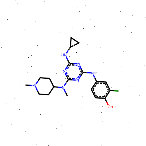 CN1CCC(N(C)c2nc(Nc3ccc(O)c(F)c3)nc(NC3CC3)n2)CC1